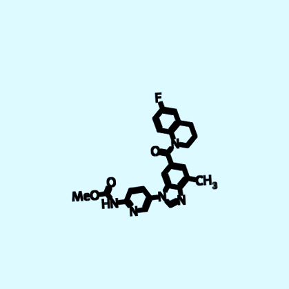 COC(=O)Nc1ccc(-n2cnc3c(C)cc(C(=O)N4CCCc5cc(F)ccc54)cc32)cn1